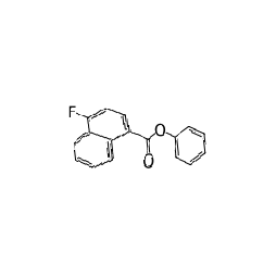 O=C(Oc1ccccc1)c1ccc(F)c2ccccc12